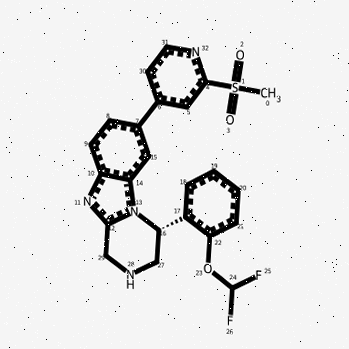 CS(=O)(=O)c1cc(-c2ccc3nc4n(c3c2)[C@H](c2ccccc2OC(F)F)CNC4)ccn1